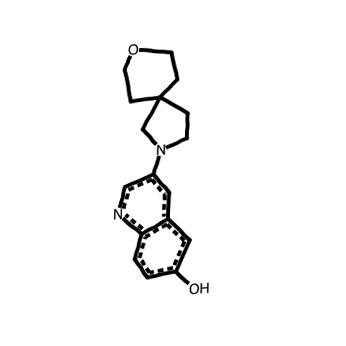 Oc1ccc2ncc(N3CCC4(CCOCC4)C3)cc2c1